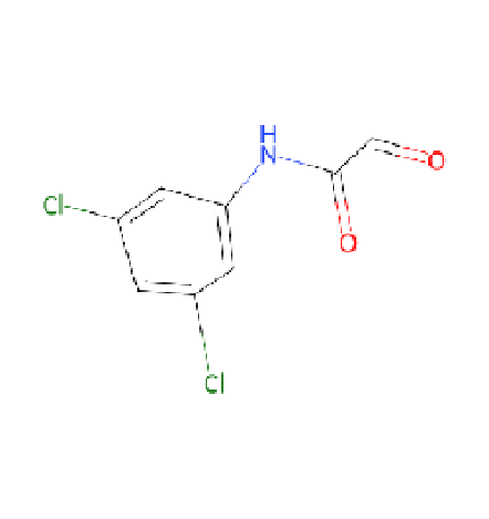 O=CC(=O)Nc1cc(Cl)cc(Cl)c1